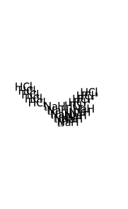 Cl.Cl.Cl.Cl.Cl.Cl.Cl.Cl.Cl.Cl.[NaH].[NaH].[NaH].[NaH].[NaH].[NaH].[NaH].[NaH].[NaH]